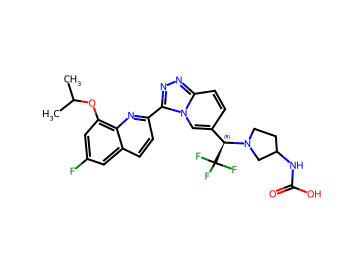 CC(C)Oc1cc(F)cc2ccc(-c3nnc4ccc([C@@H](N5CCC(NC(=O)O)C5)C(F)(F)F)cn34)nc12